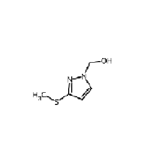 CSc1ccn(CO)n1